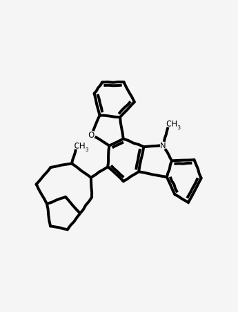 CC1CCC2CCC(C2)CC1c1cc2c3ccccc3n(C)c2c2c1oc1ccccc12